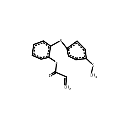 C=CC(=O)Sc1ccccc1Sc1ccc(SC)cc1